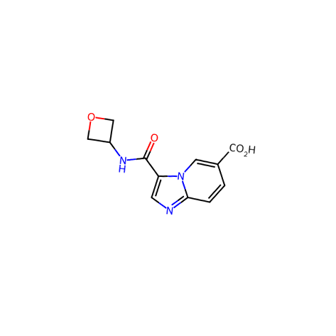 O=C(O)c1ccc2ncc(C(=O)NC3COC3)n2c1